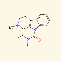 CCN1CCc2c3n(c4ccccc24)C(=O)N(C)C(C)C31